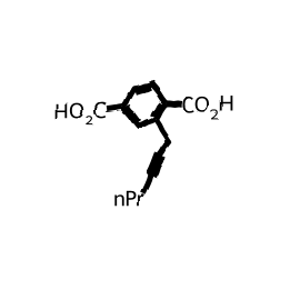 CCCC#CCc1cc(C(=O)O)ccc1C(=O)O